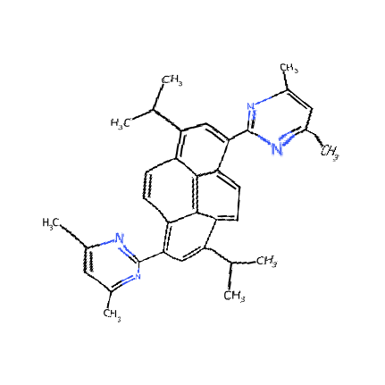 Cc1cc(C)nc(-c2cc(C(C)C)c3ccc4c(-c5nc(C)cc(C)n5)cc(C(C)C)c5ccc2c3c45)n1